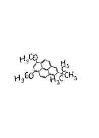 COc1cc(OC)c2ccc3cc(C(C)(C)C)cc4ccc1c2c43